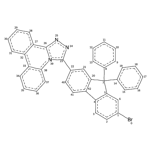 Brc1ccc2c(c1)C(c1ccccc1)(c1ccccc1)c1cc(-c3nnc4c5ccccc5c5ccccc5n34)ccc1-2